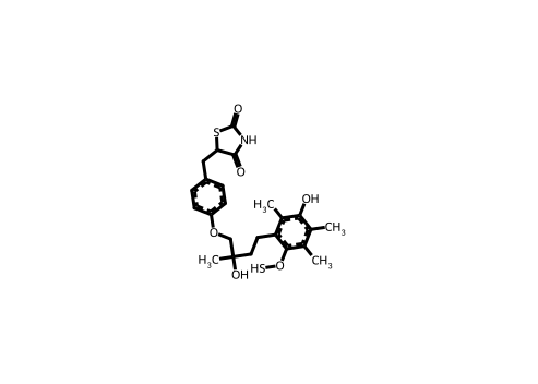 Cc1c(C)c(OS)c(CCC(C)(O)COc2ccc(CC3SC(=O)NC3=O)cc2)c(C)c1O